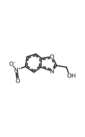 O=[N+]([O-])c1ccc2oc(CO)nc2c1